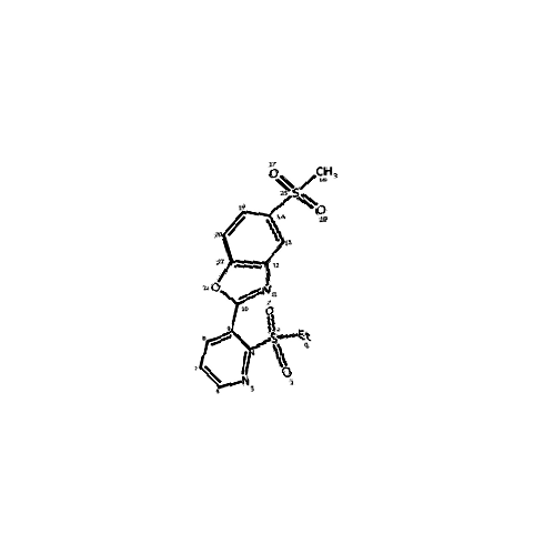 CCS(=O)(=O)c1ncccc1-c1nc2cc(S(C)(=O)=O)ccc2o1